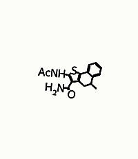 CC(=O)Nc1sc2c(c1C(N)=O)CC(C)c1ccccc1-2